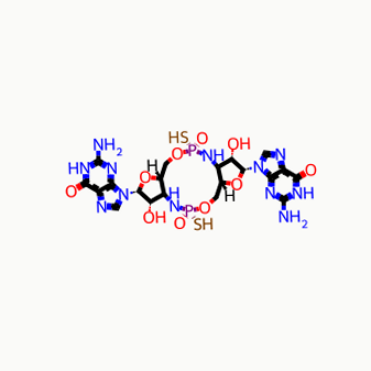 Nc1nc2c(ncn2[C@@H]2O[C@@H]3COP(=O)(S)NC4[C@@H](COP(=O)(S)NC3[C@@H]2O)O[C@@H](n2cnc3c(=O)[nH]c(N)nc32)[C@H]4O)c(=O)[nH]1